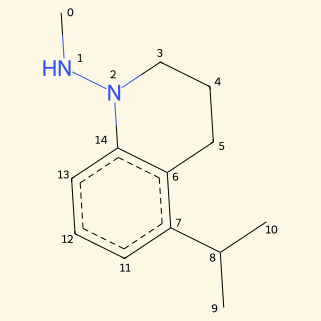 CNN1CCCc2c(C(C)C)cccc21